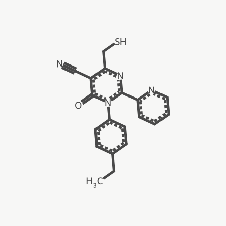 CCc1ccc(-n2c(-c3ccccn3)nc(CS)c(C#N)c2=O)cc1